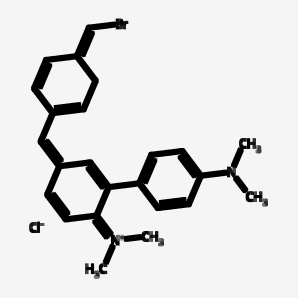 CN(C)c1ccc(C2=CC(=CC3=CCC(=CBr)C=C3)C=CC2=[N+](C)C)cc1.[Cl-]